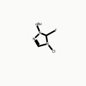 CCCCN1N=CN(Cl)C1F